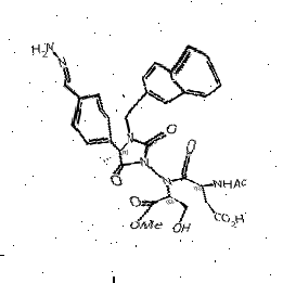 COC(=O)[C@H](CO)N(C(=O)[C@H](CC(=O)O)NC(C)=O)N1C(=O)N(Cc2ccc3ccccc3c2)[C@](C)(c2ccc(C=NN)cc2)C1=O